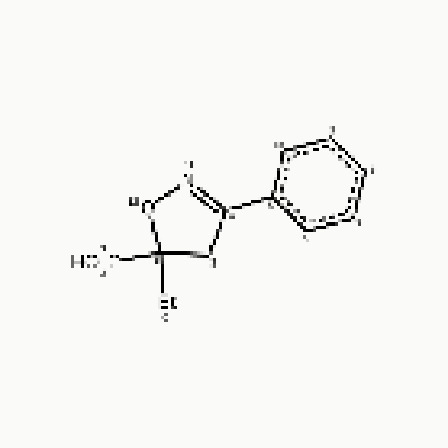 CCC1(C(=O)O)CC(c2ccccc2)=NO1